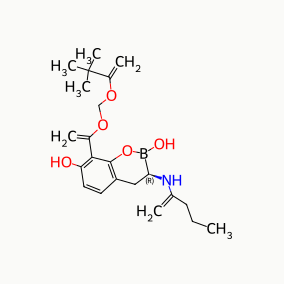 C=C(CCC)N[C@H]1Cc2ccc(O)c(C(=C)OCOC(=C)C(C)(C)C)c2OB1O